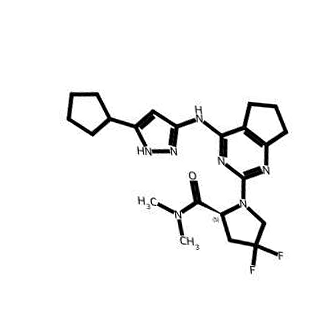 CN(C)C(=O)[C@@H]1CC(F)(F)CN1c1nc2c(c(Nc3cc(C4CCCC4)[nH]n3)n1)CCC2